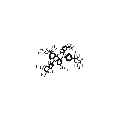 Cc1cc2c3c(c1)N(c1ccc(C(C)(C)C)cc1)c1c(sc4ccc(C(C)(C)C)cc14)B3c1cc(C(C)(C)C)ccc1N2c1ccc2c(c1)C(C)(C)CCC2(C)C